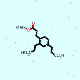 CCCCCCOC(=O)CCC1CCC(CCC(=O)O)CC1CCC(=O)O